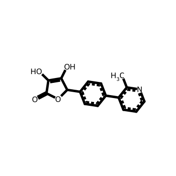 Cc1ncccc1-c1ccc(C2OC(=O)C(O)=C2O)cc1